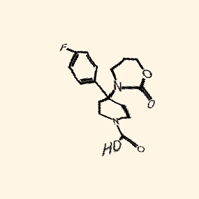 O=C(O)N1CCC(c2ccc(F)cc2)(N2CCCOC2=O)CC1